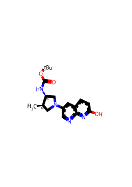 C[C@@H]1CN(c2cnc3nc(O)ccc3c2)C[C@@H]1NC(=O)OC(C)(C)C